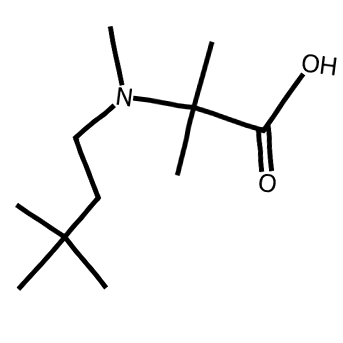 CN(CCC(C)(C)C)C(C)(C)C(=O)O